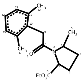 CCOC(=O)C1CCC(C)N1C(=O)Cc1c(C)cccc1C